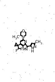 Cc1cc(-c2nsc3c(C4(C(F)F)CC4)cc(N4CCOC[C@H]4C)nc23)[nH]n1